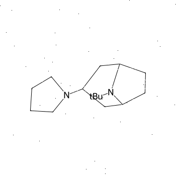 CC(C)(C)N1C2CCC1CC(N1CCCC1)C2